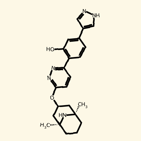 C[C@]12CCC[C@](C)(CC(Oc3ccc(-c4ccc(-c5cn[nH]c5)cc4O)nn3)C1)N2